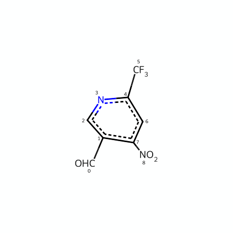 O=Cc1cnc(C(F)(F)F)cc1[N+](=O)[O-]